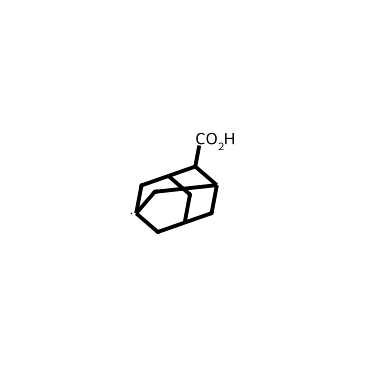 O=C(O)C1C2C[C]3CC(C2)CC1C3